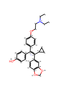 CCN(CC)CCOc1ccc(/C(=C(/c2ccc3c(c2)OCO3)C2CC2)c2ccc(O)cc2)cc1